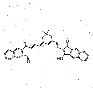 CC1(C)CC(/C=C/C2=C(O)c3cc4ccccc4cc3C2=O)=CC(=C/C=C/C(=O)c2cc3ccccc3cc2C=O)/C1